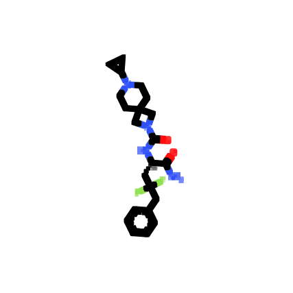 NC(=O)[C@H](CC(F)(F)Cc1ccccc1)NC(=O)N1CC2(CCN(C3CC3)CC2)C1